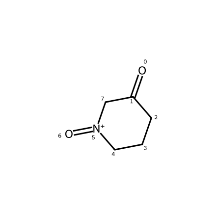 O=C1CCC[N+](=O)C1